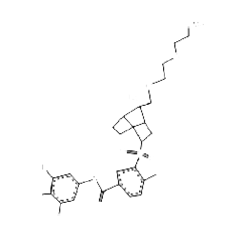 COCCOCCOC[C@]1(O)C2CCC23C1CC3S(=O)(=O)c1cc(C(=O)Nc2cc(F)c(F)c(F)c2)ccc1Cl